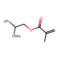 C=C(C)C(=O)OCC(CCC)OC